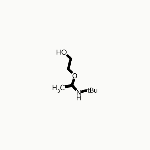 CC(NC(C)(C)C)OCCO